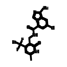 CCC(C)c1ncn2c(C(=O)NCc3c(C(F)(F)CC)cc(C)[nH]c3=O)cc(Cl)cc12